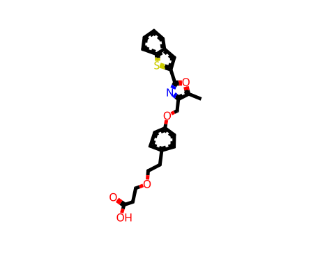 Cc1oc(-c2cc3ccccc3s2)nc1COc1ccc(CCOCCC(=O)O)cc1